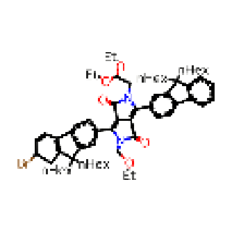 CCCCCCC1(CCCCCC)C2=C(C=CC(Br)C2)c2ccc(C3=C4C(=O)N(CC(OCC)OCC)C(c5ccc6c(c5)C(CCCCCC)(CCCCCC)c5ccccc5-6)=C4C(=O)N3COCC)cc21